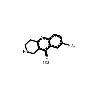 Cl.O=c1c2c(sc3ccc([N+](=O)[O-])cc13)CCNC2